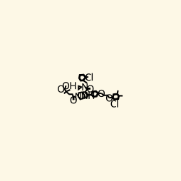 Cc1cc(Cl)c(OCCOc2ccc(C3=C(C(=O)N(Cc4ccccc4Cl)C4CC4)C4CN(C(=O)CCC(C)(C)C(=O)O)CC(C3)N4)cc2)cc1C